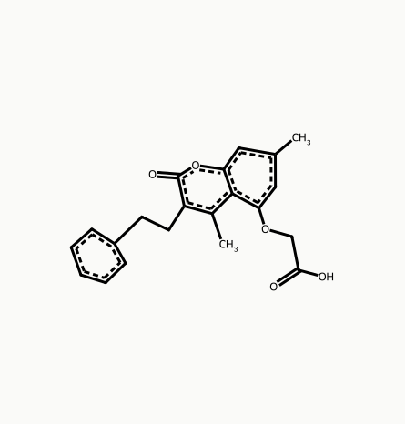 Cc1cc(OCC(=O)O)c2c(C)c(CCc3ccccc3)c(=O)oc2c1